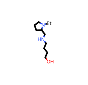 CCN1CCCC1CNCCCCO